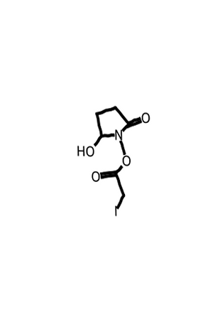 O=C(CI)ON1C(=O)CCC1O